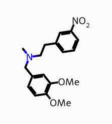 COc1ccc(CN(C)CCc2cccc([N+](=O)[O-])c2)cc1OC